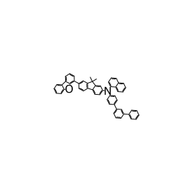 CC1(C)c2cc(-c3cccc4c3oc3ccccc34)ccc2-c2ccc(N(c3ccc(-c4cccc(-c5ccccc5)c4)cc3)c3cccc4ccccc34)cc21